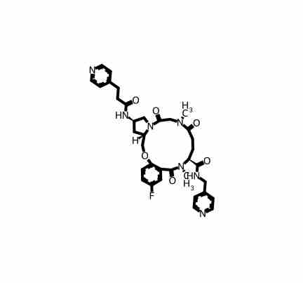 CN1CC(=O)N2C[C@H](NC(=O)CCc3ccncc3)C[C@H]2COc2ccc(F)cc2C(=O)N(C)[C@H](C(=O)NCc2ccncc2)CCC1=O